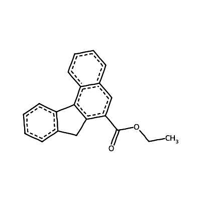 CCOC(=O)c1cc2ccccc2c2c1Cc1ccccc1-2